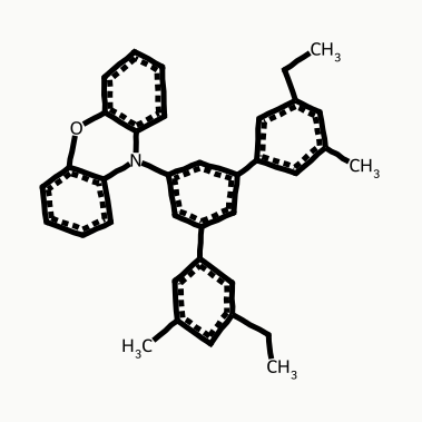 CCc1cc(C)cc(-c2cc(-c3cc(C)cc(CC)c3)cc(N3c4ccccc4Oc4ccccc43)c2)c1